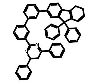 C1=CC2=C(CC1)c1ccc(-c3cccc(-c4cccc(C5=NC(c6ccccc6)CC(c6ccccc6)=N5)c4)c3)cc1C2(c1ccccc1)c1ccccc1